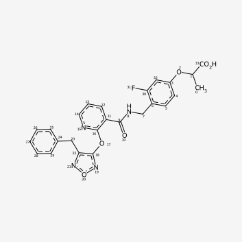 CC(Oc1ccc(CNC(=O)c2cccnc2Oc2nonc2Cc2ccccc2)c(F)c1)C(=O)O